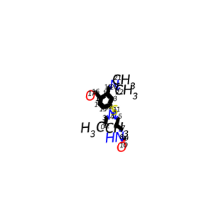 CC(C)CN(CCCNC=O)Sc1ccc(C=O)c(CN(C)C)c1